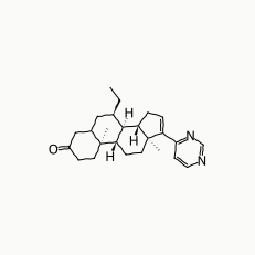 CC[C@@H]1CC2CC(=O)CC[C@]2(C)[C@H]2CC[C@]3(C)C(c4ccncn4)=CC[C@H]3[C@H]12